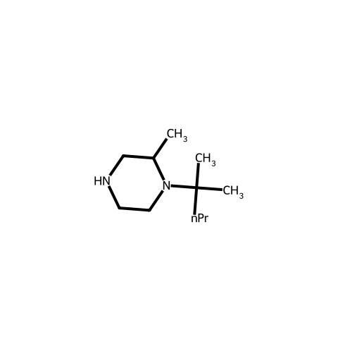 CCCC(C)(C)N1CCNCC1C